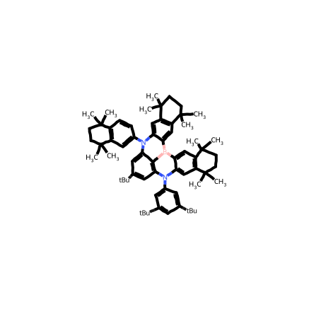 CC(C)(C)c1cc(N2c3cc4c(cc3B3c5cc6c(cc5N(c5ccc7c(c5)C(C)(C)CCC7(C)C)c5cc(C(C)(C)C)cc2c53)C(C)(C)CCC6(C)C)C(C)(C)CCC4(C)C)cc(C(C)(C)C)c1